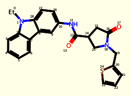 CCn1c2ccccc2c2cc(NC(=O)C3CC(=O)N(Cc4cccs4)C3)ccc21